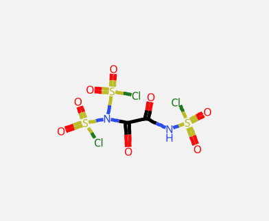 O=C(NS(=O)(=O)Cl)C(=O)N(S(=O)(=O)Cl)S(=O)(=O)Cl